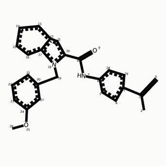 C=C(C)c1ccc(NC(=O)c2cc3ccccc3n2Cc2cccc(OC)c2)cc1